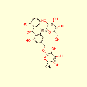 CC1O[C@@H](OCc2cc(O)c3c(c2)[C@H]([C@@H]2OC(CO)[C@@H](O)[C@H](O)C2O)c2cccc(O)c2C3=O)C(O)[C@@H](O)[C@H]1O